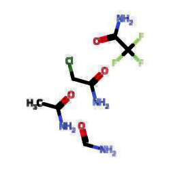 CC(N)=O.NC(=O)C(F)(F)F.NC(=O)CCl.NC=O